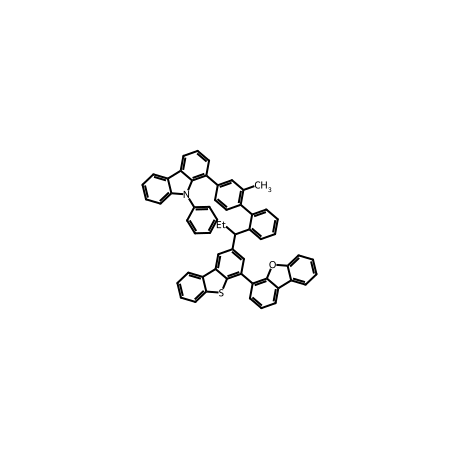 CCC(c1cc(-c2cccc3c2oc2ccccc23)c2sc3ccccc3c2c1)c1ccccc1-c1ccc(-c2cccc3c4ccccc4n(-c4ccccc4)c23)cc1C